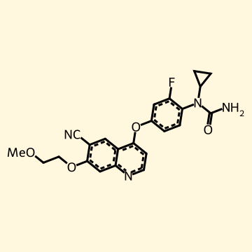 COCCOc1cc2nccc(Oc3ccc(N(C(N)=O)C4CC4)c(F)c3)c2cc1C#N